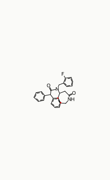 O=C1CC(N(Cc2ccccc2F)C(=O)C(c2ccccc2)c2ccccc2)CCCN1